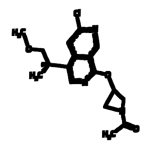 COC[C@H](C)c1cnc(OC2CN(C(C)=O)C2)c2cnc(Cl)cc12